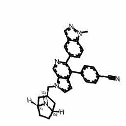 Cn1ncc2cc(-c3ncc4c(ccn4C[C@@H]4C[C@H]5CC[C@@H](C4)N5)c3-c3ccc(C#N)cc3)ccc21